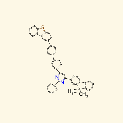 CC1(C)c2ccccc2-c2ccc(-c3cc(-c4ccc(-c5ccc(-c6ccc7sc8ccccc8c7c6)cc5)cc4)nc(-c4ccccc4)n3)cc21